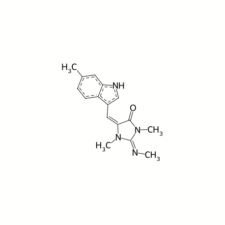 C/N=C1\N(C)C(=O)/C(=C\c2c[nH]c3cc(C)ccc23)N1C